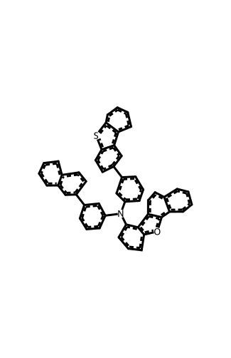 c1cc(-c2ccc3ccccc3c2)cc(N(c2cccc(-c3ccc4sc5ccccc5c4c3)c2)c2cccc3oc4c5ccccc5ccc4c23)c1